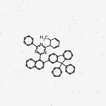 CC1C=CC=CC1c1nc(-c2ccccc2)nc(-c2c(-c3ccc4c(c3)C(c3ccccc3)(c3ccccc3)c3ccccc3-4)ccc3ccccc23)n1